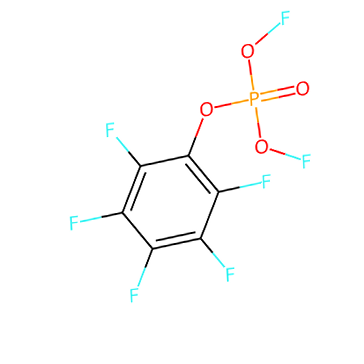 O=P(OF)(OF)Oc1c(F)c(F)c(F)c(F)c1F